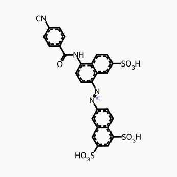 [C-]#[N+]c1ccc(C(=O)Nc2ccc(/N=N/c3ccc4c(S(=O)(=O)O)cc(S(=O)(=O)O)cc4c3)c3cc(S(=O)(=O)O)ccc23)cc1